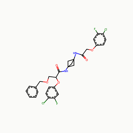 O=C(COc1ccc(Cl)c(F)c1)NC12CC(NC(=O)C(COCc3ccccc3)Oc3ccc(Cl)c(F)c3)(C1)C2